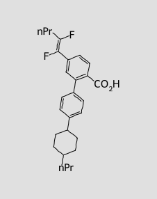 CCC/C(F)=C(\F)c1ccc(C(=O)O)c(-c2ccc(C3CCC(CCC)CC3)cc2)c1